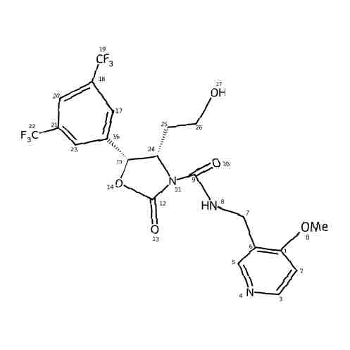 COc1ccncc1CNC(=O)N1C(=O)O[C@H](c2cc(C(F)(F)F)cc(C(F)(F)F)c2)[C@@H]1CCO